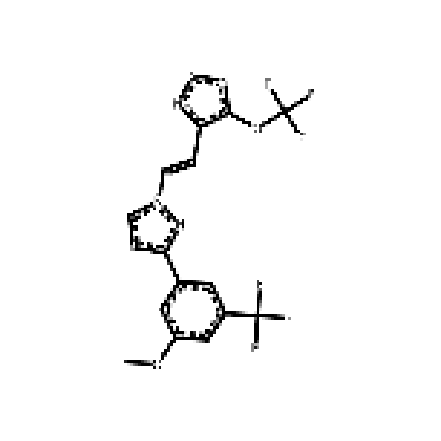 COc1cc(-c2ncn(C=Cc3nsnc3OC(F)(F)F)n2)cc(C(F)(F)F)c1